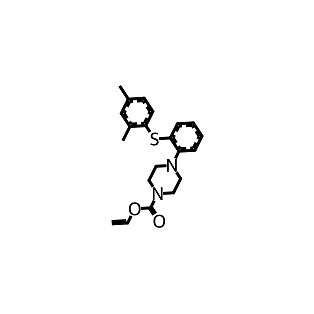 C=COC(=O)N1CCN(c2ccccc2Sc2ccc(C)cc2C)CC1